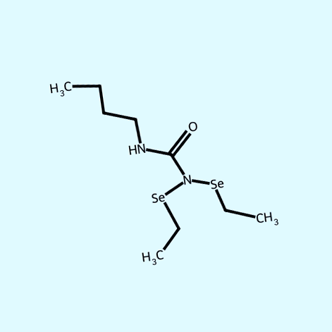 CCCCNC(=O)N([Se]CC)[Se]CC